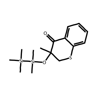 CC1(O[Si](C)(C)[Si](C)(C)C)CSc2ccccc2C1=O